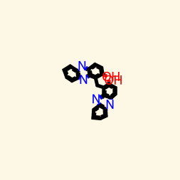 Oc1ccc2nc3ccccc3nc2c1Cc1c(O)ccc2nc3ccccc3nc12